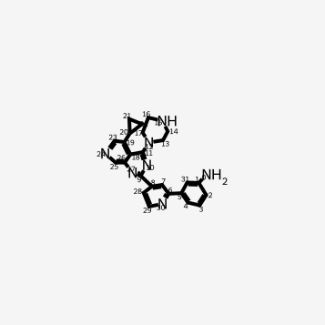 Nc1cccc(-c2cc(-c3nc(N4CCNCC4)c4c(C5CC5)cncc4n3)ccn2)c1